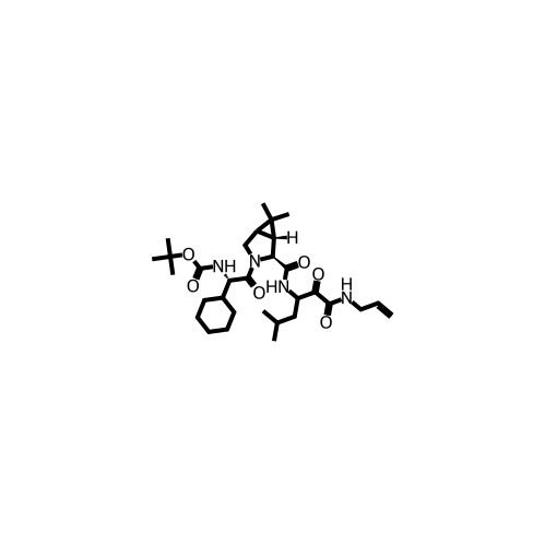 C=CCNC(=O)C(=O)C(CC(C)C)NC(=O)[C@@H]1[C@@H]2C(CN1C(=O)[C@@H](NC(=O)OC(C)(C)C)C1CCCCC1)C2(C)C